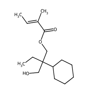 CC=C(C)C(=O)OCC(CC)(CO)C1CCCCC1